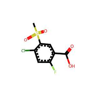 CS(=O)(=O)c1cc(C(=O)O)c(F)cc1Cl